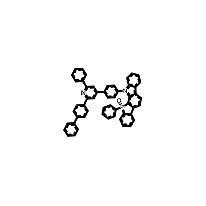 O=P1(c2ccccc2)c2ccccc2-c2ccc3c4ccccc4n(-c4ccc(-c5cc(-c6ccccc6)nc(-c6ccc(-c7ccccc7)cc6)c5)cc4)c3c21